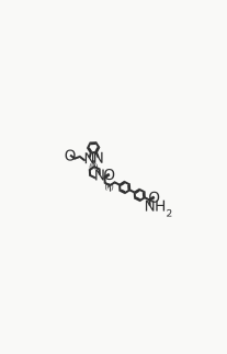 COCCCn1c([C@@H]2CCCN(C(=O)C[C@H](C)Cc3ccc(-c4ccc(C(N)=O)cc4)cc3)C2)nc2ccccc21